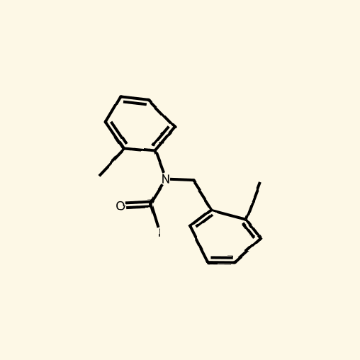 Cc1ccccc1CN(C(=O)I)c1ccccc1C